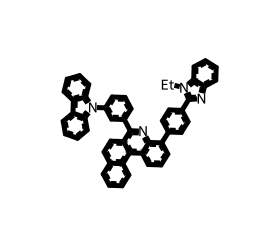 CCn1c(-c2ccc(-c3cccc4c3nc(-c3cccc(-n5c6ccccc6c6ccccc65)c3)c3ccc5ccccc5c34)cc2)nc2ccccc21